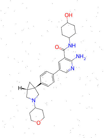 Nc1ncc(-c2ccc([C@]34C[C@H]3CN(C3CCOCC3)C4)cc2)cc1C(=O)NC1CCC(O)CC1